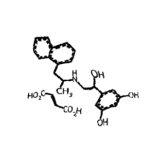 CC(Cc1cccc2ccccc12)NCC(O)c1cc(O)cc(O)c1.O=C(O)C=CC(=O)O